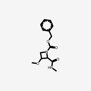 CNC(=O)C1C(OC)CN1C(=O)OCc1ccccc1